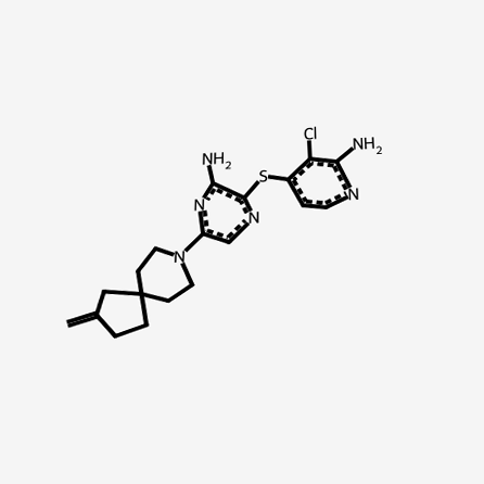 C=C1CCC2(CCN(c3cnc(Sc4ccnc(N)c4Cl)c(N)n3)CC2)C1